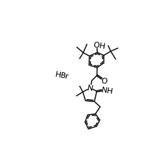 Br.CC(C)(C)c1cc(C(=O)CN2C(=N)C(Cc3ccccc3)=CC2(C)C)cc(C(C)(C)C)c1O